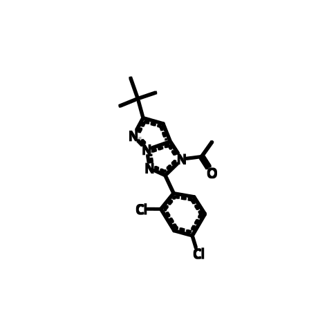 CC(=O)n1c(-c2ccc(Cl)cc2Cl)nn2nc(C(C)(C)C)cc12